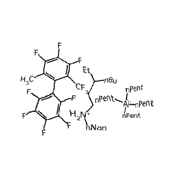 CCCCCCCCC[NH2+]CCC(CC)CCCC.CCCC[CH2][Al-]([CH2]CCCC)([CH2]CCCC)[CH2]CCCC.Cc1c(F)c(F)c(F)c(C(F)(F)F)c1-c1c(F)c(F)c(F)c(F)c1F